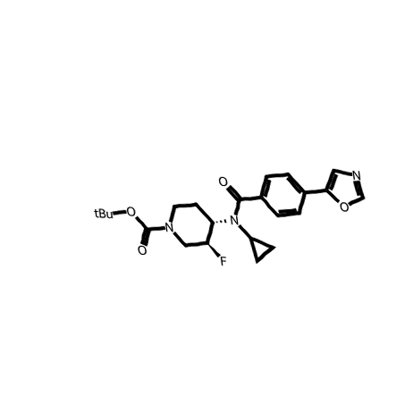 CC(C)(C)OC(=O)N1CC[C@H](N(C(=O)c2ccc(-c3cnco3)cc2)C2CC2)[C@@H](F)C1